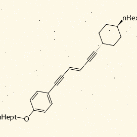 CCCCCCCOc1ccc(C#C/C=C/C#C[C@H]2CC[C@H](CCCCCC)CC2)cc1